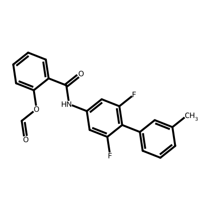 Cc1cccc(-c2c(F)cc(NC(=O)c3ccccc3OC=O)cc2F)c1